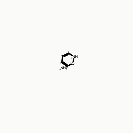 C1=CNOC=C1.N